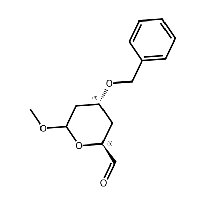 COC1C[C@H](OCc2ccccc2)C[C@@H](C=O)O1